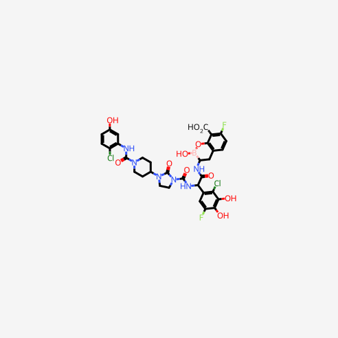 O=C(O)c1c(F)ccc2c1OB(O)C(NC(=O)C(NC(=O)N1CCN(C3CCN(C(=O)Nc4cc(O)ccc4Cl)CC3)C1=O)c1cc(F)c(O)c(O)c1Cl)C2